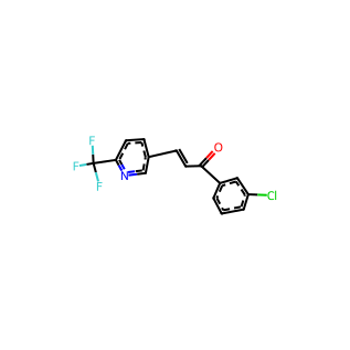 O=C(C=Cc1ccc(C(F)(F)F)nc1)c1cccc(Cl)c1